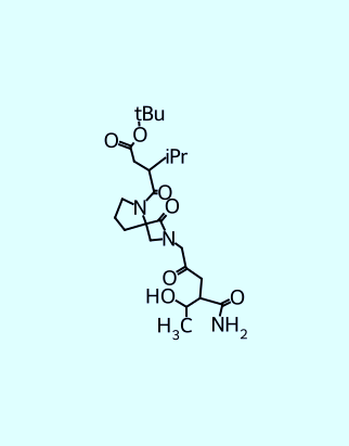 CC(C)C(CC(=O)OC(C)(C)C)C(=O)N1CCCC12CN(CC(=O)CC(C(N)=O)C(C)O)C2=O